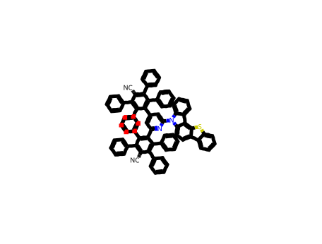 N#Cc1c(-c2ccccc2)c(-c2ccccc2)c(-c2cc(-c3c(-c4ccccc4)c(-c4ccccc4)c(C#N)c(-c4ccccc4)c3-c3ccccc3)nc(-n3c4ccccc4c4c5sc6ccccc6c5ccc43)c2)c(-c2ccccc2)c1-c1ccccc1